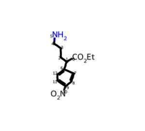 CCOC(=O)C(CCCN)c1ccc([N+](=O)[O-])cc1